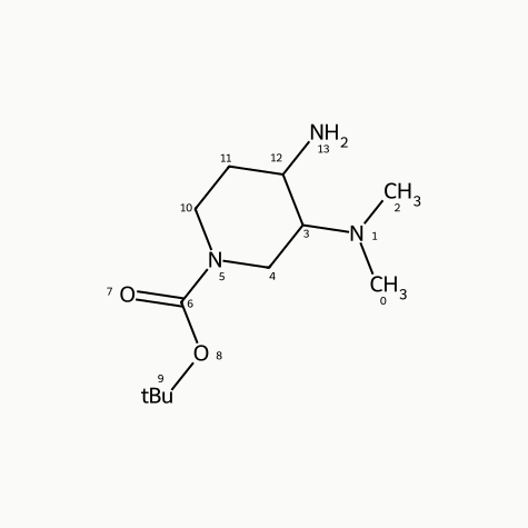 CN(C)C1CN(C(=O)OC(C)(C)C)CCC1N